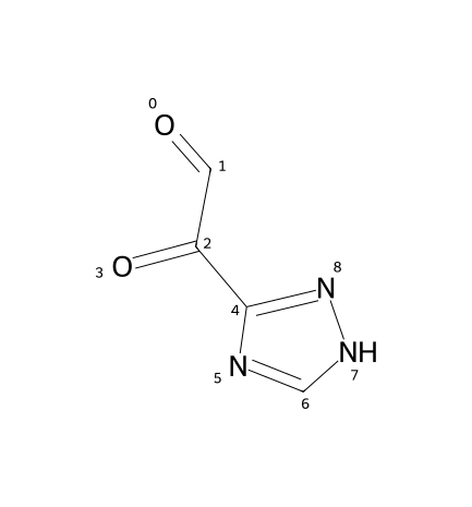 O=CC(=O)c1nc[nH]n1